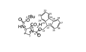 CC(C)(C)OC(=O)NC1CCN(C(=O)OCC2c3ccccc3-c3ccccc32)C1C(=O)O